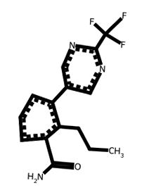 CCCc1c(C(N)=O)cccc1-c1cnc(C(F)(F)F)nc1